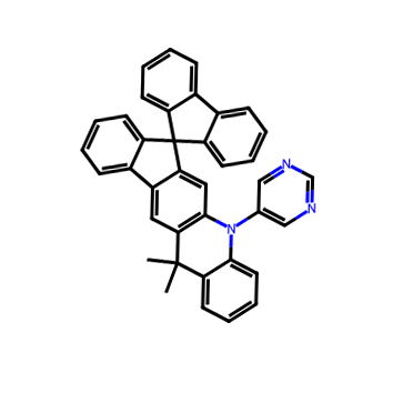 CC1(C)c2ccccc2N(c2cncnc2)c2cc3c(cc21)-c1ccccc1C31c2ccccc2-c2ccccc21